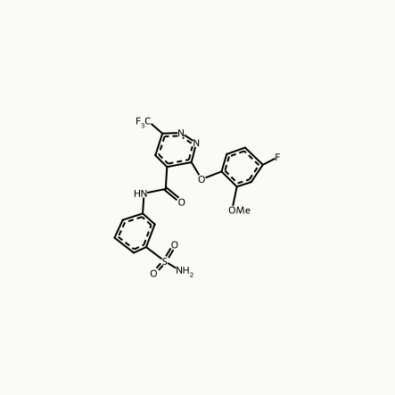 COc1cc(F)ccc1Oc1nnc(C(F)(F)F)cc1C(=O)Nc1cccc(S(N)(=O)=O)c1